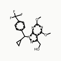 COc1nc(OC)c2c(CO)nn(C(c3ccc(C(F)(F)F)cc3)C3CC3)c2n1